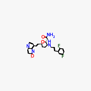 COc1ccc2nccc(C=C[C@@H]3CC[C@@H](NCC=Cc4cc(F)ccc4F)[C@@H](CC(N)=O)O3)c2n1